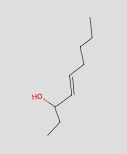 CCCCC=CC(O)CC